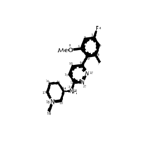 COc1cc(F)cc(C)c1-c1ccc(N[C@@H]2CCCN(C)C2)nn1